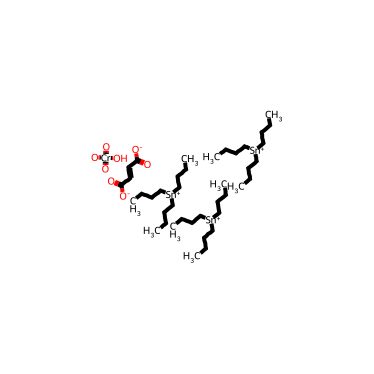 CCC[CH2][Sn+]([CH2]CCC)[CH2]CCC.CCC[CH2][Sn+]([CH2]CCC)[CH2]CCC.CCC[CH2][Sn+]([CH2]CCC)[CH2]CCC.O=C([O-])C=CC(=O)[O-].[O]=[Cr](=[O])([O-])[OH]